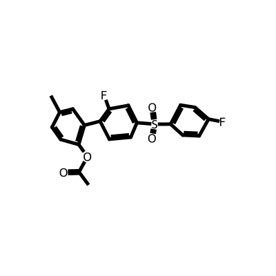 CC(=O)Oc1ccc(C)cc1-c1ccc(S(=O)(=O)c2ccc(F)cc2)cc1F